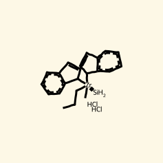 CC[CH2][Zr]([CH3])(=[SiH2])([CH]1C=Cc2ccccc21)[CH]1C(C)=Cc2ccccc21.Cl.Cl